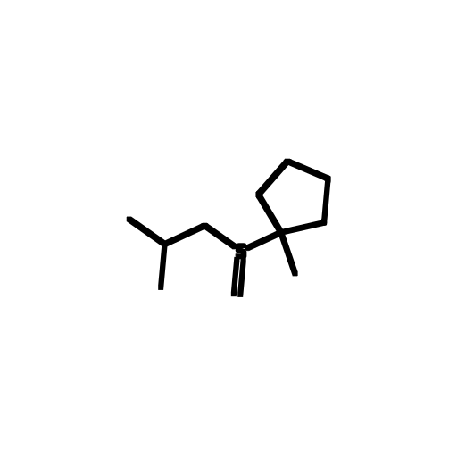 C=S(CC(C)C)C1(C)CCCC1